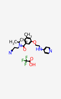 Cc1cc(OCCNc2ccncc2)cc(C(=O)N(CCC#N)C(C)C)c1.O=C(O)C(F)(F)F